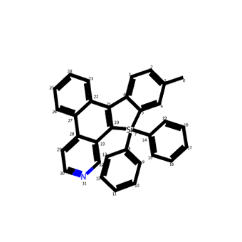 Cc1ccc2c(c1)[Si](c1ccccc1)(c1ccccc1)c1c-2c2ccccc2c2ccncc12